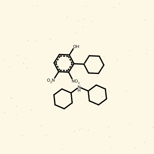 C1CCC(NC2CCCCC2)CC1.O=[N+]([O-])c1ccc(O)c(C2CCCCC2)c1[N+](=O)[O-]